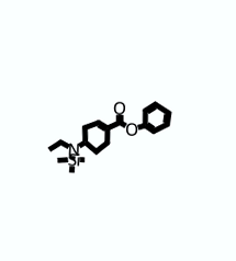 CCN(C1CC=C(C(=O)Oc2ccccc2)CC1)[Si](C)(C)C